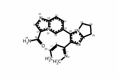 C/C=C\C(=N/C)c1nc2n(c1-c1ccc3ncc(C(N)=O)n3c1)CCC2